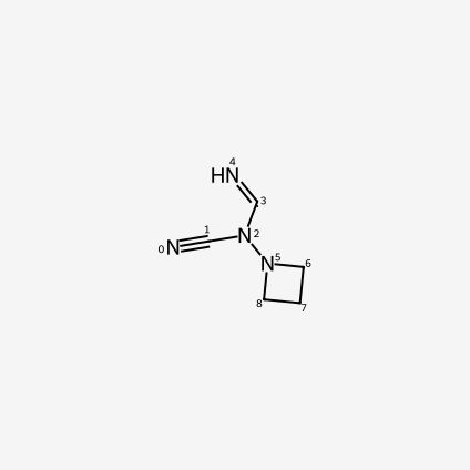 N#CN([C]=N)N1CCC1